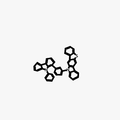 c1ccc(-n2c3ccccc3c3cccc(-c4cccc(-n5c6ccccc6c6cc7sc8ccccc8c7cc65)c4)c32)cc1